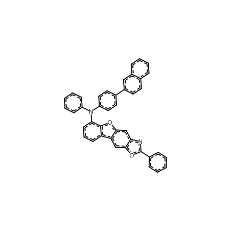 c1ccc(-c2nc3cc4oc5c(N(c6ccccc6)c6ccc(-c7ccc8ccccc8c7)cc6)cccc5c4cc3o2)cc1